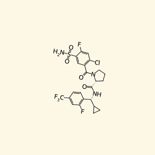 NS(=O)(=O)c1cc(C(=O)N2CCC[C@@H]2C(=O)N[C@@H](c2ccc(C(F)(F)F)cc2F)C2CC2)c(Cl)cc1F